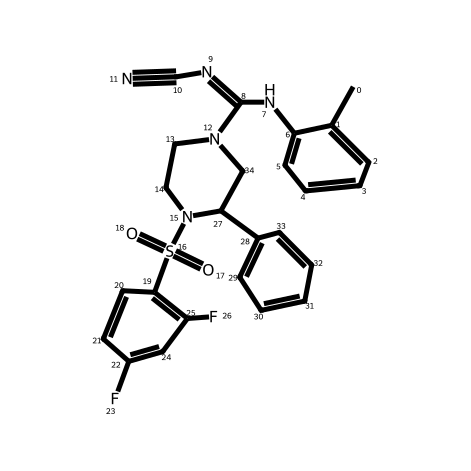 Cc1ccccc1N/C(=N/C#N)N1CCN(S(=O)(=O)c2ccc(F)cc2F)C(c2ccccc2)C1